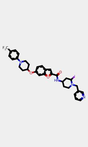 O=C(NC1CCN(Cc2cccnc2)C(I)C1)c1cc2ccc(OC3CCN(c4ccc(C(F)(F)F)cc4)CC3)cc2o1